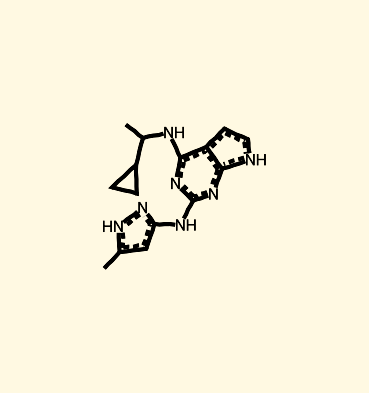 Cc1cc(Nc2nc(NC(C)C3CC3)c3cc[nH]c3n2)n[nH]1